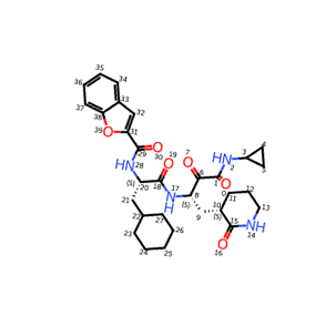 O=C(NC1CC1)C(=O)[C@H](C[C@@H]1CCCNC1=O)NC(=O)[C@H](CC1CCCCC1)NC(=O)c1cc2ccccc2o1